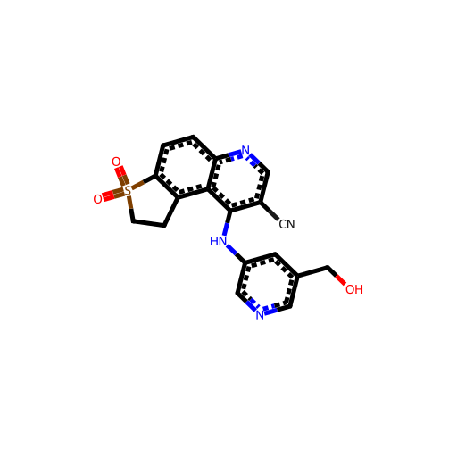 N#Cc1cnc2ccc3c(c2c1Nc1cncc(CO)c1)CCS3(=O)=O